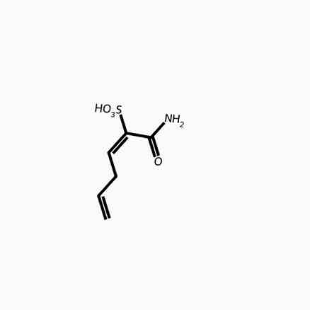 C=CC/C=C(\C(N)=O)S(=O)(=O)O